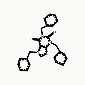 O=c1c2c(ncn2Cc2ccccc2)n(Cc2ccccc2)c(=O)n1Cc1ccccc1